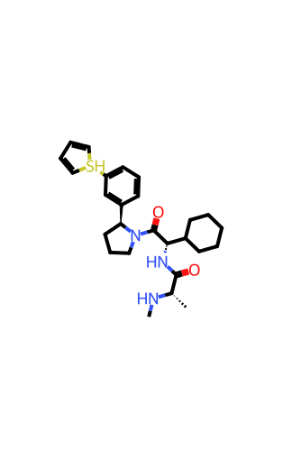 CN[C@@H](C)C(=O)N[C@H](C(=O)N1CCC[C@H]1c1cccc([SH]2C=CC=C2)c1)C1CCCCC1